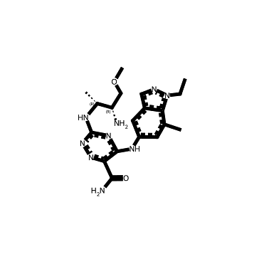 CCn1ncc2cc(Nc3nc(N[C@H](C)[C@@H](N)COC)nnc3C(N)=O)cc(C)c21